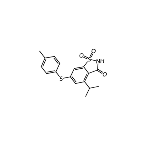 Cc1ccc(Sc2cc(C(C)C)c3c(c2)S(=O)(=O)NC3=O)cc1